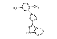 Cc1ccc(C)c(-c2csc(-c3n[nH]c4ccccc34)n2)c1